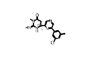 Cc1cc(Cl)cc(-c2cncc([C@]3(C)CC(=O)N(C)C(=N)N3)n2)c1